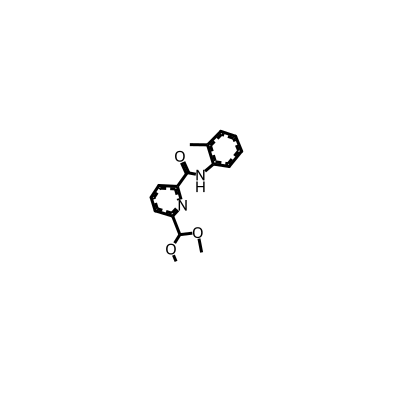 COC(OC)c1cccc(C(=O)Nc2ccccc2C)n1